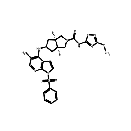 COc1nsc(NC(=O)N2C[C@H]3CC(Nc4c(N)cnc5c4ccn5S(=O)(=O)c4ccccc4)C[C@H]3C2)n1